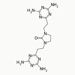 Nc1nc(N)nc(CCN2CCN(CCc3nc(N)nc(N)n3)C2=O)n1